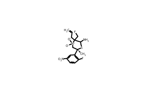 C=CCC1(CF)C(N)S[C@](C)(c2cc([N+](=O)[O-])ccc2F)C[N+]1([O-])[O-]